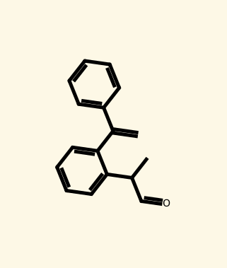 C=C(c1ccccc1)c1ccccc1C(C)C=O